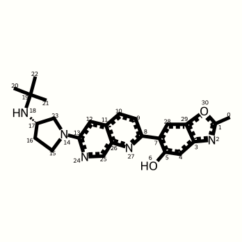 Cc1nc2cc(O)c(-c3ccc4cc(N5CC[C@H](NC(C)(C)C)C5)ncc4n3)cc2o1